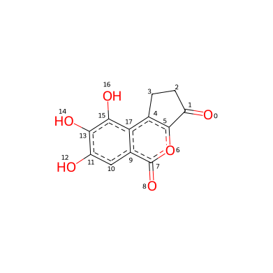 O=C1CCc2c1oc(=O)c1cc(O)c(O)c(O)c21